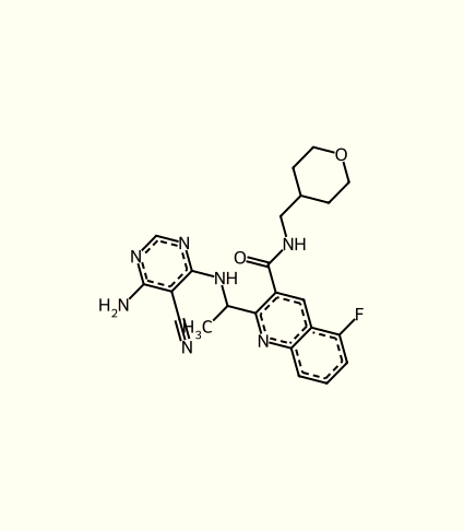 CC(Nc1ncnc(N)c1C#N)c1nc2cccc(F)c2cc1C(=O)NCC1CCOCC1